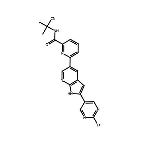 CCc1ncc(-c2cc3cc(-c4cccc(C(=O)NC(C)(C)C#N)n4)cnc3[nH]2)cn1